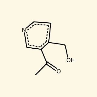 CC(=O)c1cnccc1CO